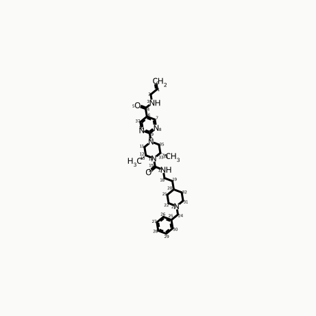 C=CCNC(=O)c1cnc(N2C[C@@H](C)N(C(=O)NCCC3CCN(Cc4ccccc4)CC3)[C@@H](C)C2)nc1